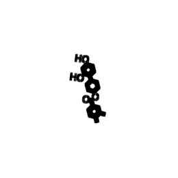 Cc1ccc(C(=O)OC2CCC(c3ccc(O)cc3O)CC2)cc1C